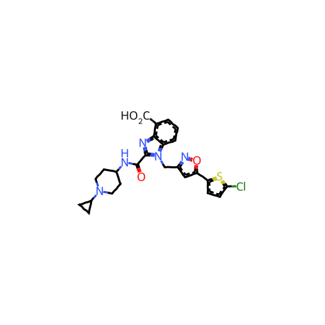 O=C(O)c1cccc2c1nc(C(=O)NC1CCN(C3CC3)CC1)n2Cc1cc(-c2ccc(Cl)s2)on1